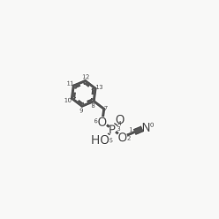 N#COP(=O)(O)OCc1ccccc1